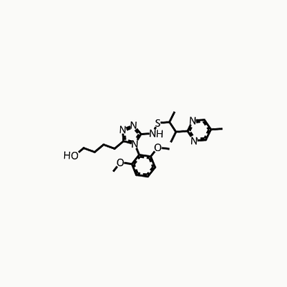 COc1cccc(OC)c1-n1c(CCCCO)nnc1NSC(C)C(C)c1ncc(C)cn1